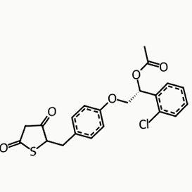 CC(=O)O[C@@H](COc1ccc(CC2SC(=O)CC2=O)cc1)c1ccccc1Cl